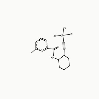 Cc1cccc(C(=O)NC2CCCCC2C#C[Si](C(C)C)(C(C)C)C(C)C)n1